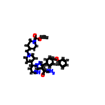 CC(C)(C)OC(=O)N1CCC(CN2CCC([C@@H]3CCNc4c(C(N)=O)c(-c5ccc(Oc6ccccc6)cc5)nn43)CC2)CC1